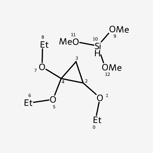 CCOC1CC1(OCC)OCC.CO[SiH](OC)OC